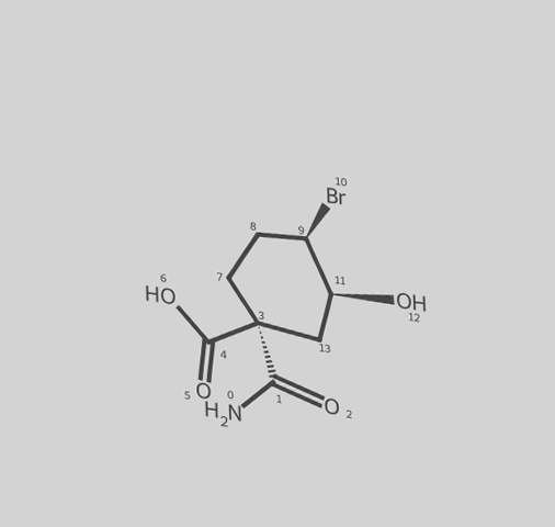 NC(=O)[C@]1(C(=O)O)CC[C@@H](Br)[C@@H](O)C1